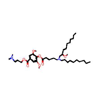 CCCCCCCCCCN(CCCCC(=O)Oc1c(OC)cc(C(=O)OCCCN(C)C)cc1OC)CC(CCCCCCCC)OC